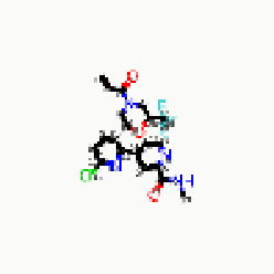 C=CC(=O)N1C[C@@H](c2ccc(Cl)nc2-c2cc(F)nc(C(=O)NC)c2)O[C@H](C(F)(F)F)C1